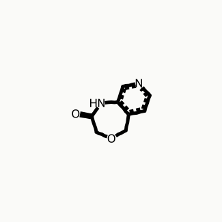 O=C1COCc2ccncc2N1